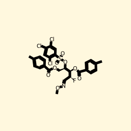 CON=C[C@@H](F)[C@H](OC(=O)c1ccc(C)cc1)[C@@H](COC(=O)c1ccc(C)cc1)OS(=O)(=O)c1cc(Cl)c(Cl)cc1Cl